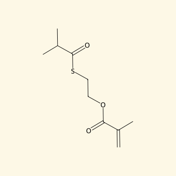 C=C(C)C(=O)OCCSC(=O)C(C)C